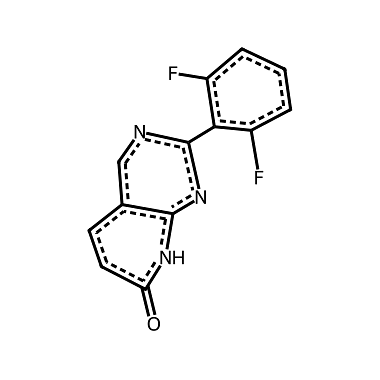 O=c1ccc2cnc(-c3c(F)cccc3F)nc2[nH]1